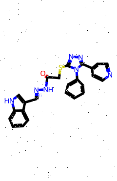 O=C(CSc1nnc(-c2ccncc2)n1-c1ccccc1)N/N=C/c1c[nH]c2ccccc12